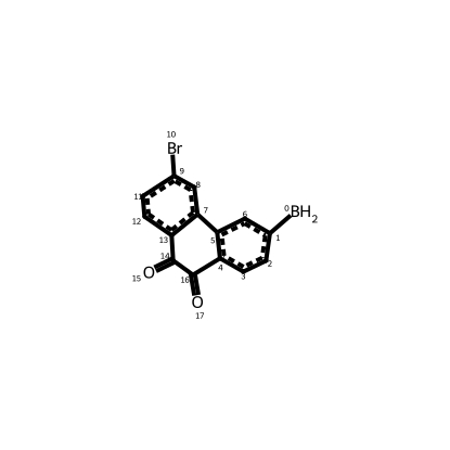 Bc1ccc2c(c1)-c1cc(Br)ccc1C(=O)C2=O